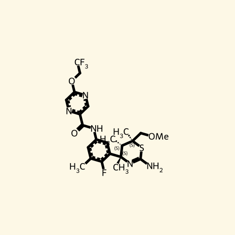 COC[C@@]1(C)SC(N)=N[C@](C)(c2cc(NC(=O)c3cnc(OCC(F)(F)F)cn3)cc(C)c2F)[C@@H]1C